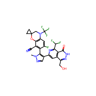 Cn1ncc(-c2cc3c(CO)n[nH]c(=O)c3c(C(F)F)n2)c1-c1c(F)cc2c(c1C#N)OC1(CC1)CN2C(F)(F)F